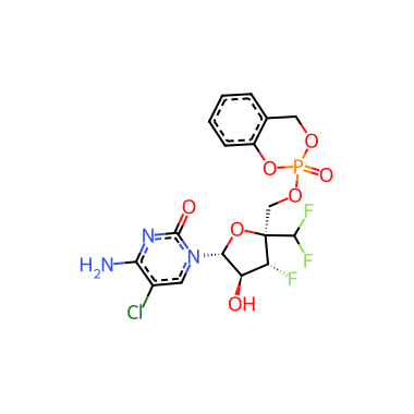 Nc1nc(=O)n([C@@H]2O[C@@](COP3(=O)OCc4ccccc4O3)(C(F)F)[C@H](F)[C@H]2O)cc1Cl